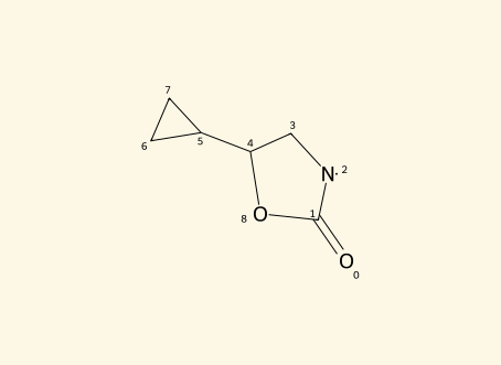 O=C1[N]CC(C2CC2)O1